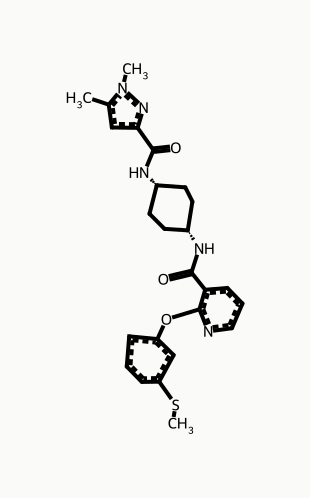 CSc1cccc(Oc2ncccc2C(=O)N[C@H]2CC[C@@H](NC(=O)c3cc(C)n(C)n3)CC2)c1